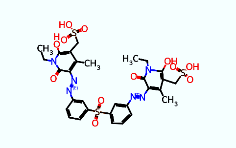 CCn1c(O)c(CS(=O)(=O)O)c(C)c(/N=N/c2cccc(S(=O)(=O)c3cccc(/N=N/c4c(C)c(CS(=O)(=O)O)c(O)n(CC)c4=O)c3)c2)c1=O